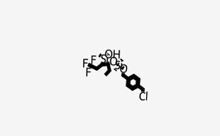 CCC1(O[Si](C)(C)OCc2ccc(CCl)cc2)C(CC(F)(F)F)[Si]1(C)O